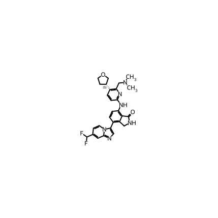 CN(C)Cc1nc(Nc2ccc(-c3cnc4cc(C(F)F)ccn34)c3c2C(=O)NC3)ccc1[C@@H]1CCOC1